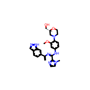 C=C(/N=C(/Nc1ccc(N2CCO[C@@H](CO)C2)c(OC)c1)c1nccn1C)c1ccc2cn[nH]c2c1